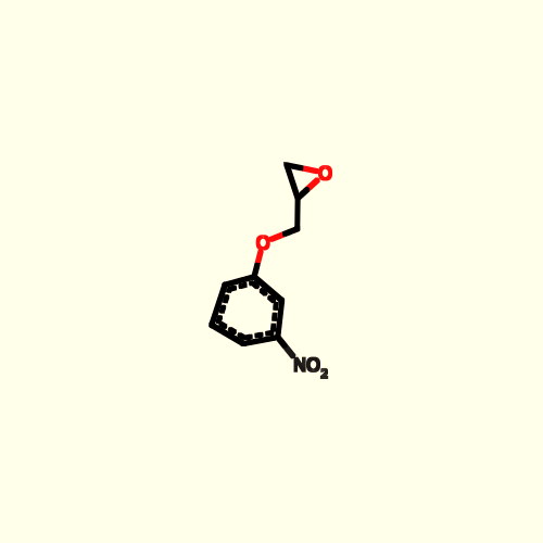 O=[N+]([O-])c1cccc(OCC2CO2)c1